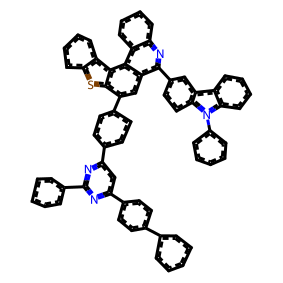 c1ccc(-c2ccc(-c3cc(-c4ccc(-c5cc6c(-c7ccc8c(c7)c7ccccc7n8-c7ccccc7)nc7ccccc7c6c6c5sc5ccccc56)cc4)nc(-c4ccccc4)n3)cc2)cc1